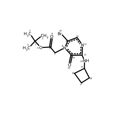 CC(C)(C)OC(=O)Cn1c(Br)cnc(NC2CCC2)c1=O